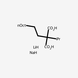 CCCCCCCCCCC(C(=O)O)(C(=O)O)C(C)C.[LiH].[NaH]